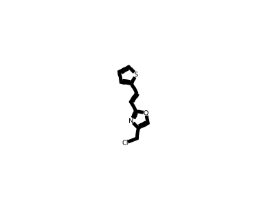 ClCc1coc(/C=C/c2cccs2)n1